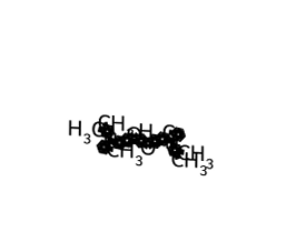 Cc1ccc(N(c2ccc3cc4c(cc3c2)oc2cc3c(cc24)oc2cc4cc(N(c5ccc(C)c(C)c5)c5ccccc5C)ccc4cc23)c2ccccc2C)cc1C